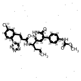 C=CCC(NC(=O)C=Cc1cc(Cl)ccc1-n1cnnn1)c1cc(-c2ccc(NC(=O)OC)cc2)c(=O)[nH]n1